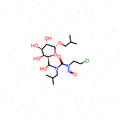 CC(C)CO[C@@H]1O[C@@H](C(O)N(CC(C)C)C(=O)N(CCCl)N=O)[C@@H](O)[C@@H](O)[C@@H]1O